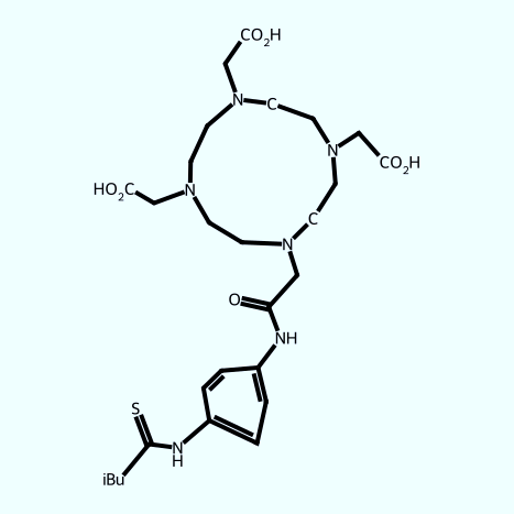 CCC(C)C(=S)Nc1ccc(NC(=O)CN2CCN(CC(=O)O)CCN(CC(=O)O)CCN(CC(=O)O)CC2)cc1